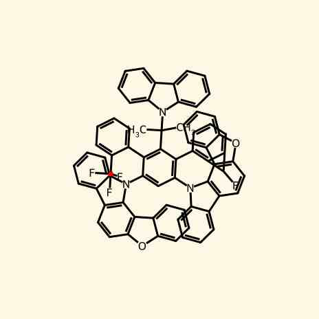 CC(C)(c1c(-c2ccccc2C(F)(F)F)c(-n2c3ccccc3c3ccc4oc5ccccc5c4c32)cc(-n2c3ccccc3c3ccc4oc5ccccc5c4c32)c1-c1cccc2c1C2F)n1c2ccccc2c2ccccc21